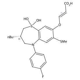 CCCC[C@H]1CN(c2ccc(F)cc2)c2cc(SC)c(O/C=C/C(=O)O)cc2S(O)(O)C1